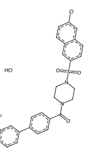 Cl.NCc1cc(-c2ccc(C(=O)N3CCN(S(=O)(=O)c4ccc5cc(Cl)ccc5c4)CC3)cc2)ccn1